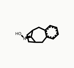 ON=C1C2CCC1Cc1ccccc1C2